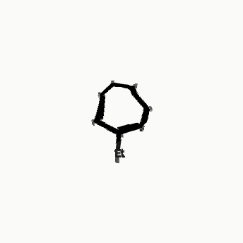 CCC1=[C]CCCC=C1